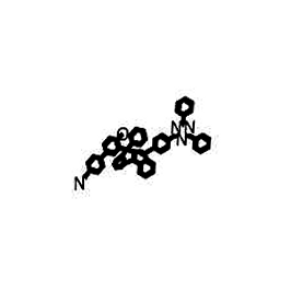 N#Cc1ccc(-c2ccc3c(c2)C2(c4ccccc4O3)c3ccccc3-c3c2cc(-c2ccc(-c4nc(-c5ccccc5)nc(-c5ccccc5)n4)cc2)c2ccccc32)cc1